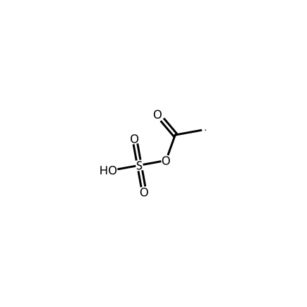 [CH2]C(=O)OS(=O)(=O)O